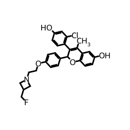 CC1=C(c2ccc(O)cc2Cl)C(c2ccc(OCCN3CC(CF)C3)cc2)Oc2ccc(O)cc21